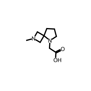 CN1CC2(CCCN2CC(=O)O)C1